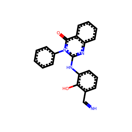 N=Cc1cccc(Nc2nc3ccccc3c(=O)n2-c2ccccc2)c1O